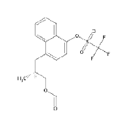 C[C@@H](COC=O)Cc1ccc(OS(=O)(=O)C(F)(F)F)c2ccccc12